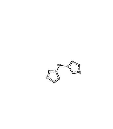 B(n1ccnc1)n1ccnc1